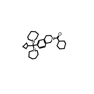 O=C(C1CCCCC1)N1CCc2cc(C(C3CCC3)(N3CCCCCC3)N3CCCCCC3)ccc2C1